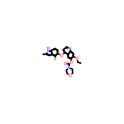 CCOc1cc2nccc(Oc3ccc4[nH]c(C)cc4c3F)c2cc1OC(=O)N1CCOCC1